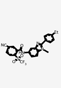 CCc1ccc(-c2nc3cc(NC(=O)c4cc(C#N)ccc4S(=O)(=O)C(F)(F)F)ccc3n2C)cc1